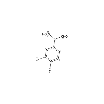 O=[C]C(c1ccc(Cl)c(Cl)c1)S(=O)(=O)O